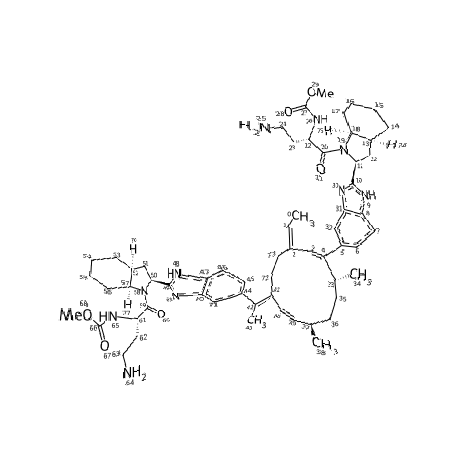 C/C=C1\C=C(\c2ccc3[nH]c([C@@H]4C[C@@H]5CCCC[C@@H]5N4C(=O)[C@H](CCN)NC(=O)OC)nc3c2)[C@H](C)CC[C@@H](C)/C=C\C(=C(/C)c2ccc3[nH]c([C@@H]4C[C@@H]5CCCC[C@@H]5N4C(=O)[C@H](CCN)NC(=O)OC)nc3c2)CC1